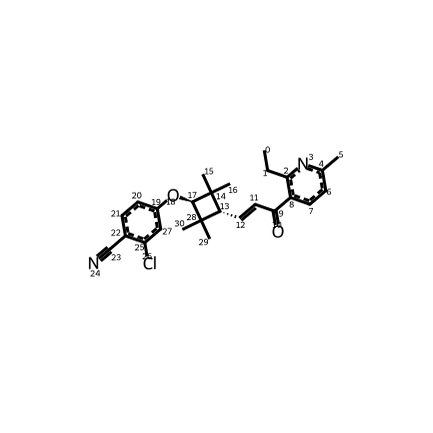 CCc1nc(C)ccc1C(=O)/C=C/[C@H]1C(C)(C)[C@H](Oc2ccc(C#N)c(Cl)c2)C1(C)C